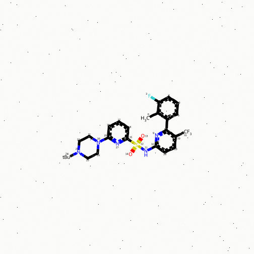 Cc1c(F)cccc1-c1nc(NS(=O)(=O)c2cccc(N3CCN(C(C)(C)C)CC3)n2)ccc1C(F)(F)F